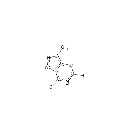 Cn1nnc2c(=O)[nH]c(I)nc21